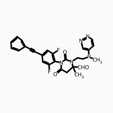 CN(CCN1C(=O)N(c2c(F)cc(C#Cc3ccccc3)cc2F)C(=O)CC1(C)C=O)c1ccnnc1